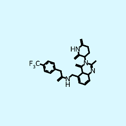 C=C(Cc1ccc(C(F)(F)F)cc1)NCC1=CC=CC2N=C(C)N(C3CCC(=C)NC3=C)C(=C)C12